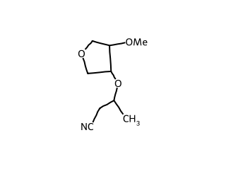 COC1COCC1OC(C)CC#N